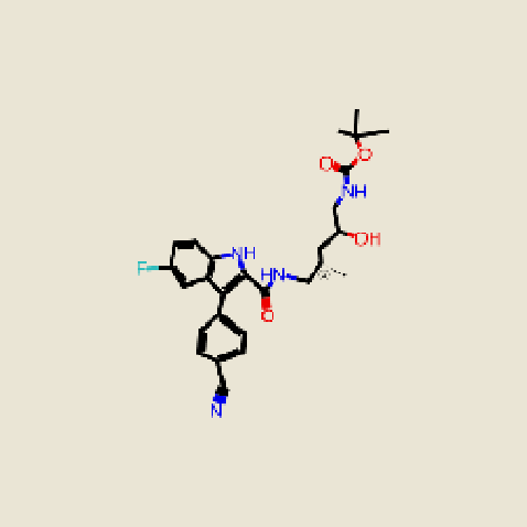 C[C@H](CNC(=O)c1[nH]c2ccc(F)cc2c1-c1ccc(C#N)cc1)CC(O)CNC(=O)OC(C)(C)C